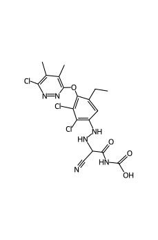 CCc1cc(NNC(C#N)C(=O)NC(=O)O)c(Cl)c(Cl)c1Oc1nnc(Cl)c(C)c1C